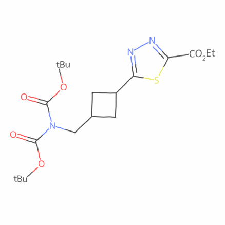 CCOC(=O)c1nnc(C2CC(CN(C(=O)OC(C)(C)C)C(=O)OC(C)(C)C)C2)s1